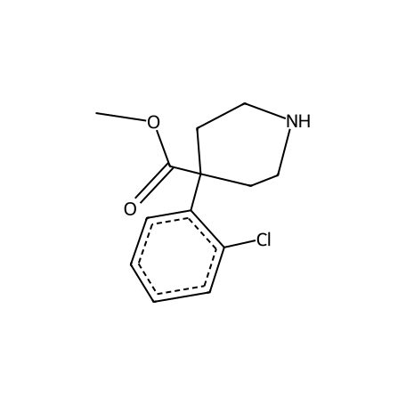 COC(=O)C1(c2ccccc2Cl)CCNCC1